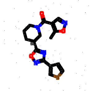 Cc1oncc1C(=O)N1CCC[C@H](c2nc(-c3ccsc3)no2)C1